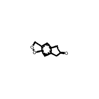 O=C1Cc2cc3c(cc2C1)OOC3